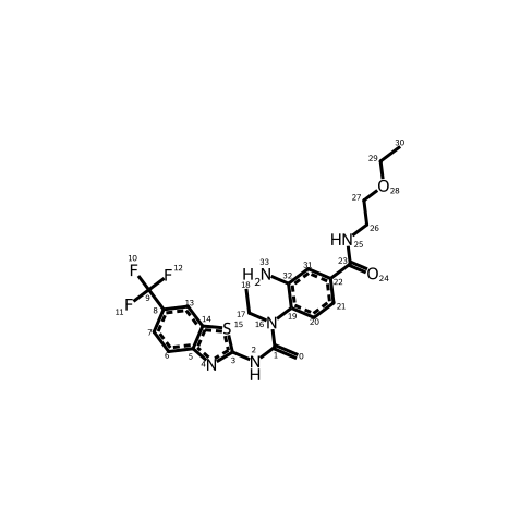 C=C(Nc1nc2ccc(C(F)(F)F)cc2s1)N(CC)c1ccc(C(=O)NCCOCC)cc1N